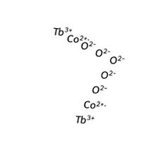 [Co+2].[Co+2].[O-2].[O-2].[O-2].[O-2].[O-2].[Tb+3].[Tb+3]